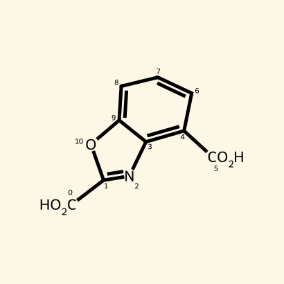 O=C(O)c1nc2c(C(=O)O)cccc2o1